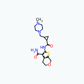 CN1CCN(CC2CC2C(=O)Nc2sc3c(c2C(N)=O)CCOC3)CC1